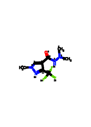 CN(C)NC(=O)c1cn(C)nc1C(F)(F)F